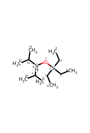 CC[Si](CC)(CC)O[SiH](C(C)C)C(C)C